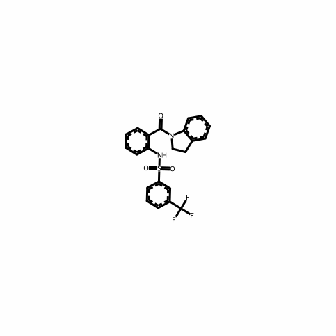 O=C(c1ccccc1NS(=O)(=O)c1cccc(C(F)(F)F)c1)N1CCc2ccccc21